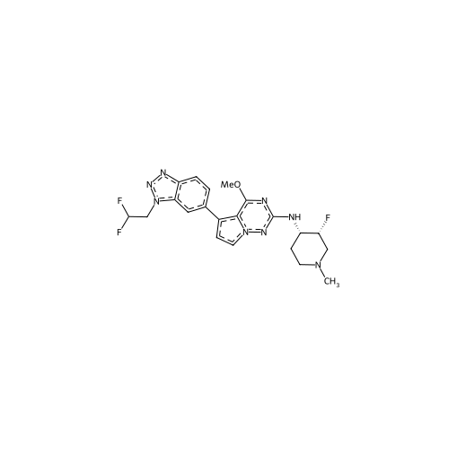 COc1nc(N[C@H]2CCN(C)C[C@H]2F)nn2ccc(-c3ccc4nnn(CC(F)F)c4c3)c12